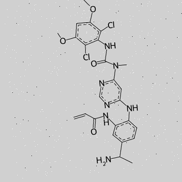 C=CC(=O)Nc1cc(C(C)N)ccc1Nc1cc(N(C)C(=O)Nc2c(Cl)c(OC)cc(OC)c2Cl)ncn1